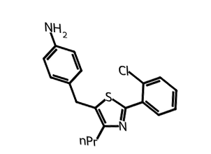 CCCc1nc(-c2ccccc2Cl)sc1Cc1ccc(N)cc1